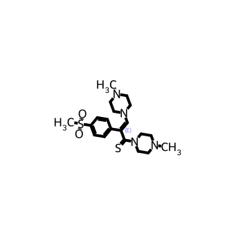 CN1CCN(/C=C(/C(=S)N2CCN(C)CC2)c2ccc(S(C)(=O)=O)cc2)CC1